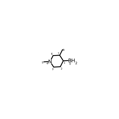 BC1CCN(C)CC1C